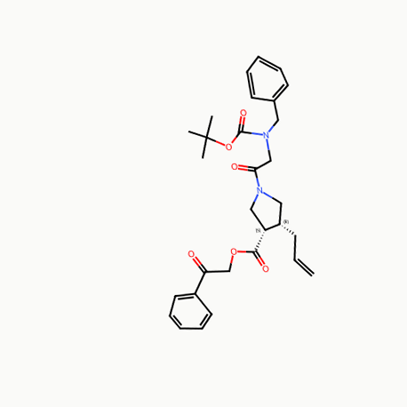 C=CC[C@H]1CN(C(=O)CN(Cc2ccccc2)C(=O)OC(C)(C)C)C[C@H]1C(=O)OCC(=O)c1ccccc1